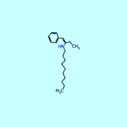 CCCCCCCCCCNC(=Cc1ccccc1)CC